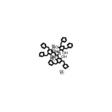 Oc1c(Cc2ccccc2)cc(Cc2ccccc2)c(O)c1C1=NN(c2c(O)c(Cc3ccccc3)cc(Cc3ccccc3)c2O)NC(c2c(O)c(Cc3ccccc3)cc(Cc3ccccc3)c2O)=[C]1[Zr+2].[Cl-].[Cl-]